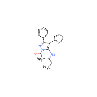 CCC(C)Nc1c(-c2ccccc2)c(-c2ccccc2)nn1C(C)=O